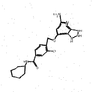 Nc1cc(OCc2ccc(C(=O)NC3CCCCC3)cc2Cl)c2c(n1)NNN2